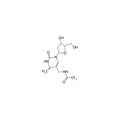 C=C1NC(=O)N(C2CC(O)C(CO)O2)C=C1CNC(=O)C(F)(F)F